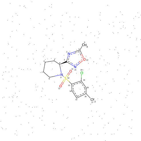 Cc1nc([C@@H]2CCCCN2S(=O)(=O)c2ccc(C(F)(F)F)cc2Cl)no1